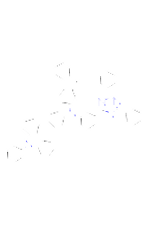 CC1(C)c2ccccc2-c2cc3c4cc(-c5cccc6c5c5ccccc5n6-c5ccccc5)ccc4n(-c4cccc(-c5nc(-c6ccccc6)nc(-c6ccccc6)n5)c4)c3cc21